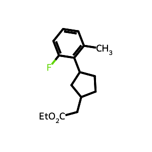 CCOC(=O)CC1CCC(c2c(C)cccc2F)C1